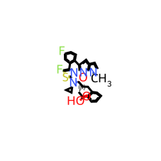 Cn1ccc2cc(-c3ccc(F)cc3-c3nc(N(C(=O)[C@@H](CC(=O)O)Cc4ccccc4)C4CC4)sc3F)cnc21